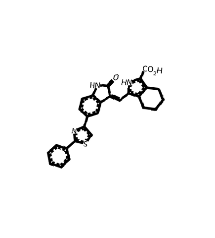 O=C1Nc2ccc(-c3csc(-c4ccccc4)n3)cc2/C1=C/c1[nH]c(C(=O)O)c2c1CCCC2